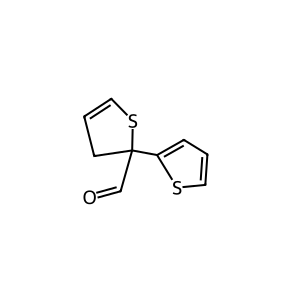 O=CC1(c2cccs2)CC=CS1